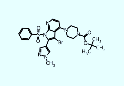 Cn1cc(-c2c(Br)c3c(N4CCN(C(=O)OC(C)(C)C)CC4)ccnc3n2S(=O)(=O)c2ccccc2)cn1